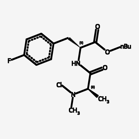 CCCCOC(=O)[C@@H](Cc1ccc(F)cc1)NC(=O)[C@@H](C)N(C)Cl